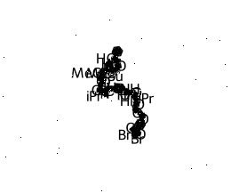 CCC(C)C([C@@H](CC(=O)N1CCC[C@H]1[C@H](OC)[C@@H](C)C(=O)N[C@H](C)[C@@H](O)c1ccccc1)OC)N(C)C(=O)CNC(=O)C(C(C)C)N(C)C(=O)OCc1ccc(NC(=O)CNC(=O)C(NC(=O)CC(C)(C)OCC(C)(C)Oc2ccc(N3C(=O)C(Br)=C(Br)C3=O)cc2)C(C)C)cc1